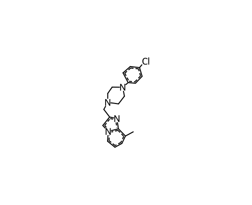 Cc1cccn2cc(CN3CCN(c4ccc(Cl)cc4)CC3)nc12